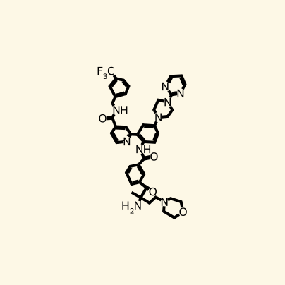 CC(N)(CCN1CCOCC1)C(=O)c1cccc(C(=O)Nc2ccc(N3CCN(c4ncccn4)CC3)cc2-c2cc(C(=O)NCc3cccc(C(F)(F)F)c3)ccn2)c1